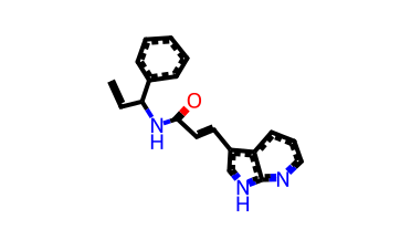 C=CC(NC(=O)C=Cc1c[nH]c2ncccc12)c1ccccc1